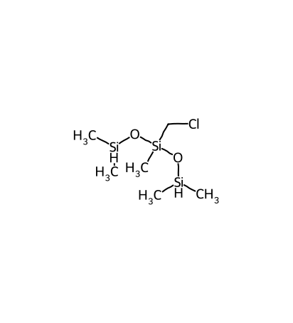 C[SiH](C)O[Si](C)(CCl)O[SiH](C)C